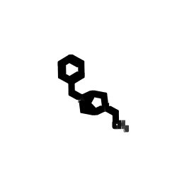 CCN1CC2CC1CN2Cc1ccccc1